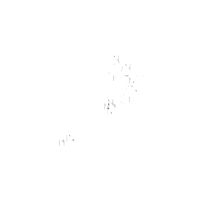 CC1(C)C(=O)N(c2cnc(C#N)c(C(F)(F)F)c2)C(=S)N1Cc1ccc(-c2cn(CCCCCCCCC(=O)NO)nn2)cc1F